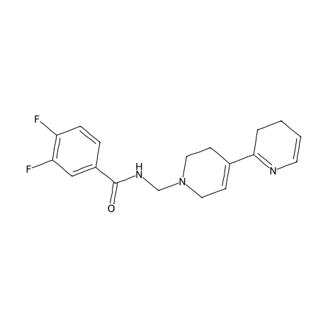 O=C(NCN1CC=C(C2=NC=CCC2)CC1)c1ccc(F)c(F)c1